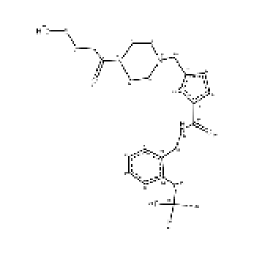 CSCCC(=O)N1CCN(Cc2ccc(C(=O)NCc3ccccc3OC(F)(F)F)s2)CC1